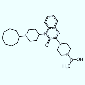 CB(O)N1CCN(c2nc3ccccc3n(C3CCN(C4CCCCCCC4)CC3)c2=O)CC1